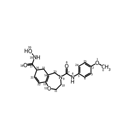 COc1ccc(NC(=O)N2CCOC3=C(CC(C(=O)NO)C=C3)C2)cc1